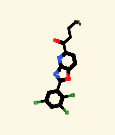 CCCC(=O)c1ccc2oc(-c3cc(Cl)cc(Cl)c3Cl)nc2n1